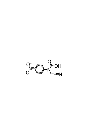 N#CCN(C(=O)O)c1ccc([N+](=O)[O-])cc1